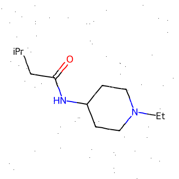 CCN1CCC(NC(=O)CC(C)C)CC1